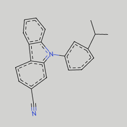 CC(C)c1cccc(-n2c3ccccc3c3ccc(C#N)cc32)c1